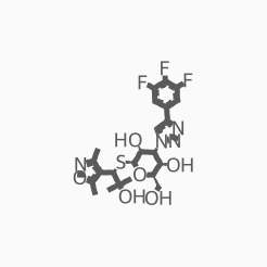 Cc1noc(C)c1[C@@H](S[C@@H]1O[C@H](CO)[C@H](O)[C@H](n2cc(-c3cc(F)c(F)c(F)c3)nn2)[C@H]1O)C(C)(C)O